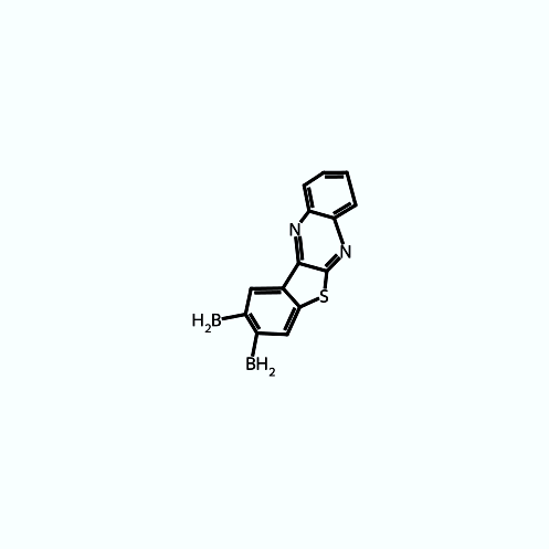 Bc1cc2sc3nc4ccccc4nc3c2cc1B